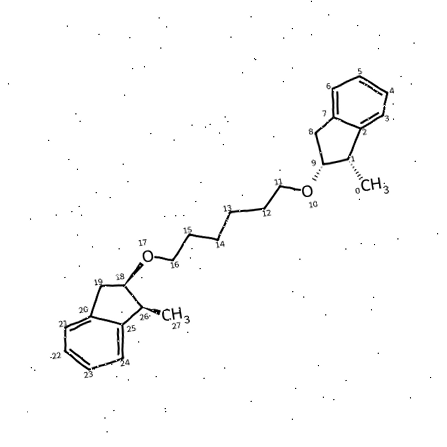 C[C@H]1c2ccccc2C[C@H]1OCCCCCCO[C@@H]1Cc2ccccc2[C@@H]1C